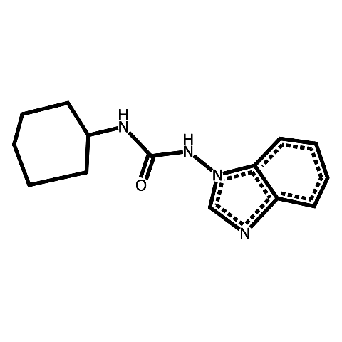 O=C(NC1CCCCC1)Nn1cnc2ccccc21